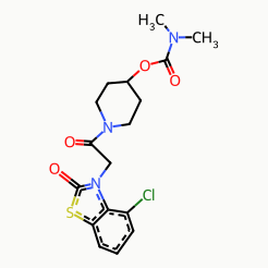 CN(C)C(=O)OC1CCN(C(=O)Cn2c(=O)sc3cccc(Cl)c32)CC1